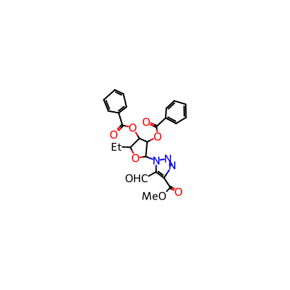 CCC1OC(n2nnc(C(=O)OC)c2C=O)C(OC(=O)c2ccccc2)C1OC(=O)c1ccccc1